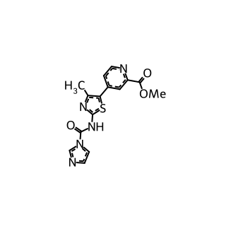 COC(=O)c1cc(-c2sc(NC(=O)n3ccnc3)nc2C)ccn1